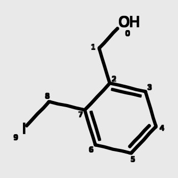 OCc1ccccc1CI